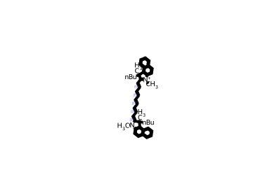 CCCCC1(C)C(/C=C/C=C/C=C/C=C/C=C2/N(C)c3ccc4ccccc4c3C2(C)CCCC)=[N+](C)c2ccc3ccccc3c21